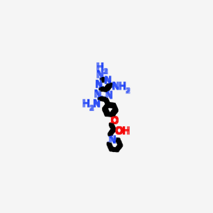 Nc1nc(N)c2nc(-c3ccc(OCC(O)CN4CCCCC4)cc3)c(N)nc2n1